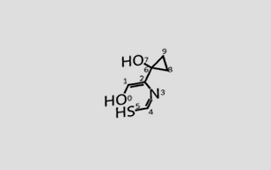 O/C=C(\N=C/S)C1(O)CC1